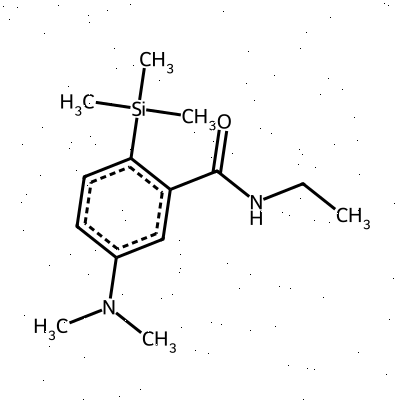 CCNC(=O)c1cc(N(C)C)ccc1[Si](C)(C)C